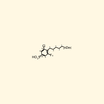 CCCCCCCCCCCCCCCc1c(F)cc(S(=O)(=O)O)cc1Cl